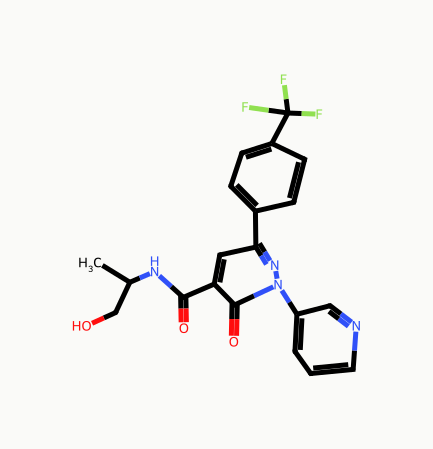 CC(CO)NC(=O)c1cc(-c2ccc(C(F)(F)F)cc2)nn(-c2cccnc2)c1=O